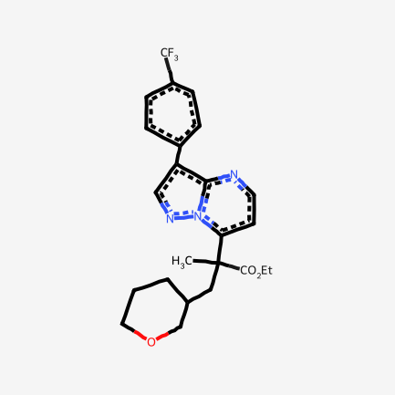 CCOC(=O)C(C)(CC1CCCOC1)c1ccnc2c(-c3ccc(C(F)(F)F)cc3)cnn12